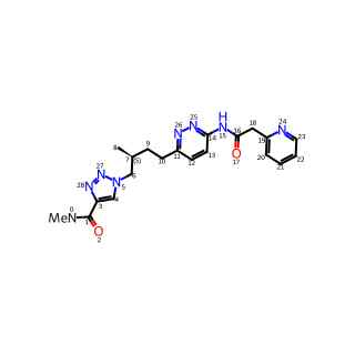 CNC(=O)c1cn(C[C@@H](C)CCc2ccc(NC(=O)Cc3ccccn3)nn2)nn1